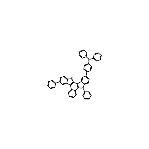 c1ccc(-c2ccc3sc4c(c3c2)c2ccccc2c2c4c3cc(-c4ccc(N(c5ccccc5)c5ccccc5)cc4)ccc3n2-c2ccccc2)cc1